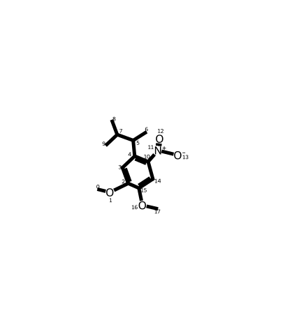 COc1cc(C(C)C(C)C)c([N+](=O)[O-])cc1OC